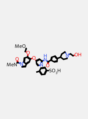 CNC(=O)n1ccc2cc(Oc3ccnc(NC(=O)c4ccc(C5CCN(CCO)CC5)cc4)c3)c(OCCOC)cc21.Cc1ccc(S(=O)(=O)O)cc1